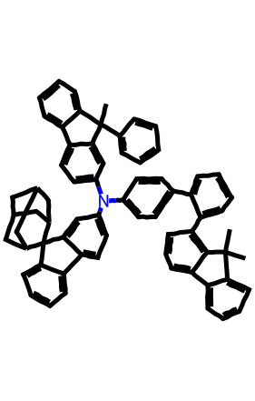 CC1(C)c2ccccc2-c2cccc(-c3ccccc3-c3ccc(N(c4ccc5c(c4)C(C)(c4ccccc4)c4ccccc4-5)c4ccc5c(c4)C4(c6ccccc6-5)C5CC6CC(C5)CC4C6)cc3)c21